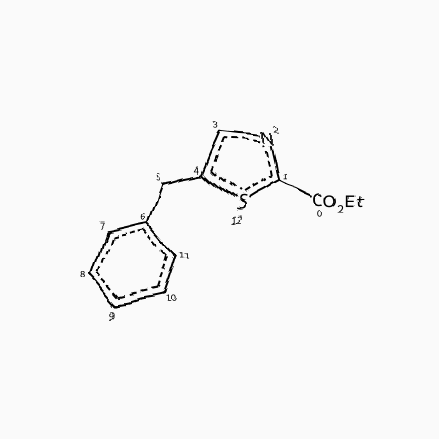 CCOC(=O)c1ncc(Cc2ccccc2)s1